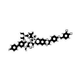 CCN(C(C)=O)c1nc(S(=O)(=O)N2Cc3cc4c(cc3C[C@H]2C(=O)N[C@@H](Cc2ccc(-c3ccc(F)cc3)cc2)C(=O)OC)OCC(c2ccc(OCc3ccc(Cl)c(Cl)c3)cc2)O4)c(C)s1